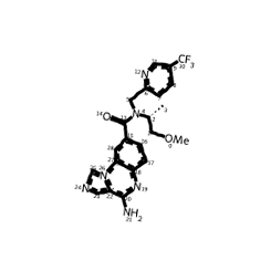 COC[C@@H](C)N(Cc1ccc(C(F)(F)F)cn1)C(=O)c1ccc2nc(N)c3cncn3c2c1